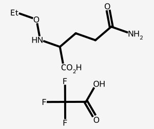 CCONC(CCC(N)=O)C(=O)O.O=C(O)C(F)(F)F